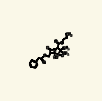 C=CCOC(=O)[C@@H]1N2C(=O)C(COC(=O)Cc3ccccc3)[C@H]2S(=O)(=O)C1(C)C